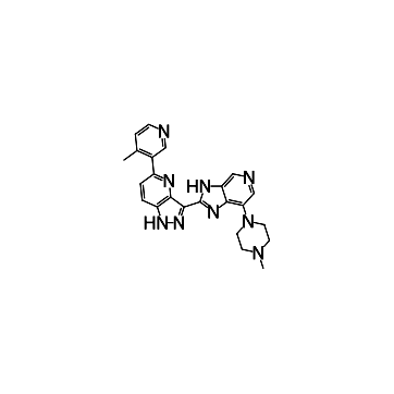 Cc1ccncc1-c1ccc2[nH]nc(-c3nc4c(N5CCN(C)CC5)cncc4[nH]3)c2n1